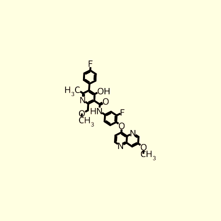 COCc1nc(C)c(-c2ccc(F)cc2)c(O)c1C(=O)Nc1ccc(Oc2ccnc3cc(OC)cnc23)c(F)c1